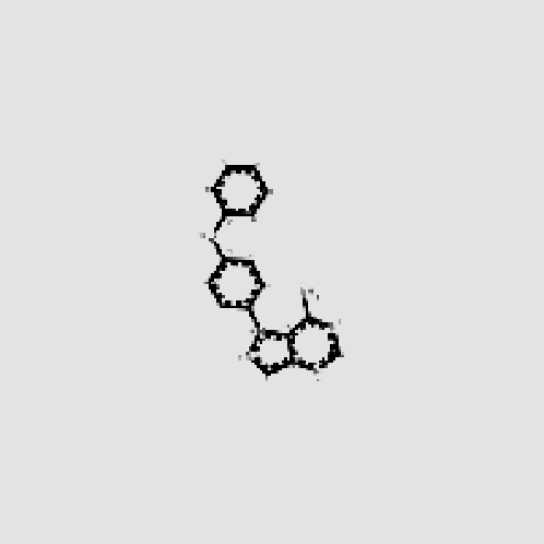 Nc1ncnc2cnn(-c3ccc(Oc4ccccc4)cc3)c12